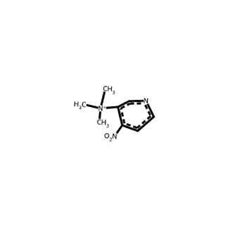 C[N+](C)(C)c1cnccc1[N+](=O)[O-]